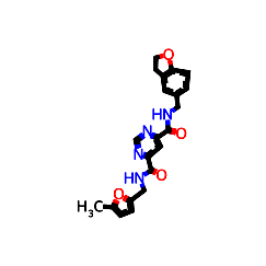 Cc1ccc(CNC(=O)c2cc(C(=O)NCc3ccc4c(c3)CCO4)ncn2)o1